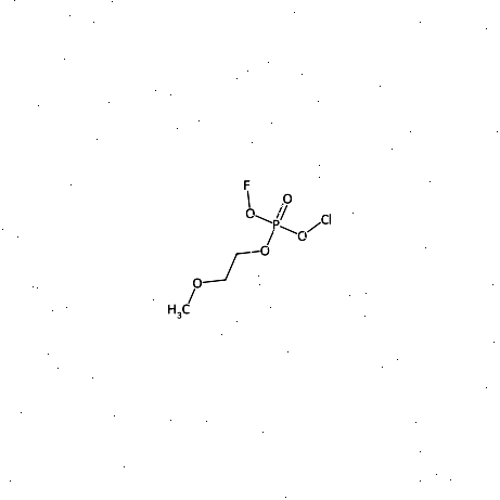 COCCOP(=O)(OF)OCl